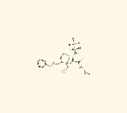 CCOC(=O)C1=C(OS(=O)(=O)C(F)(F)F)C2CCC(COCc3ccccc3)[N+](CC)(C1)C2